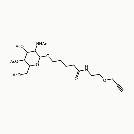 C#CCOCCNC(=O)CCCCOC1OC(COC(C)=O)C(OC(C)=O)C(OC(C)=O)C1NC(C)=O